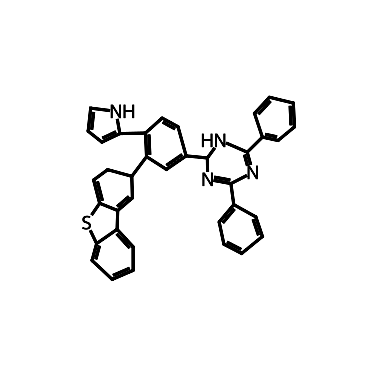 C1=c2sc3ccccc3c2=CC(c2cc(C3N=C(c4ccccc4)N=C(c4ccccc4)N3)ccc2-c2ccc[nH]2)C1